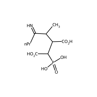 CCCC(=N)C(C)C(C(=O)O)C(C(=O)O)P(=O)(O)O